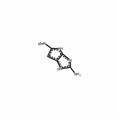 CNc1cc2[nH]c(N)nc2[nH]1